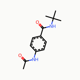 CC(=O)Nc1ccc(C(=O)NC(C)(C)C)cc1